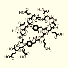 C[C@H](NC(=O)[C@H](C)NC(=O)[C@H](CCC(=O)O)NC(=O)[C@H](Cc1ccccc1)NC(=O)[C@H](CCCCN)NC(=O)[C@@H](N)Cc1ccccc1)C(=O)N[C@@H](CC(N)=O)C(=O)NCC(=O)N[C@@H](CCC(=O)O)C(=O)N[C@@H](CCC(=O)O)C(=O)NCC(=O)N[C@@H](CO)C(=O)NCC(=O)N[C@@H](CCC(=O)O)C(=O)N[C@@H](CCC(=O)O)C(=O)O